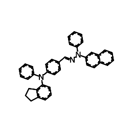 C(=N\N(c1ccccc1)c1ccc2ccccc2c1)/c1ccc(N(c2ccccc2)c2cccc3c2CCC3)cc1